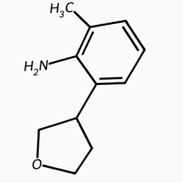 Cc1cccc(C2CCOC2)c1N